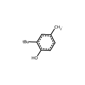 [CH2]c1ccc(O)c(C(C)(C)C)c1